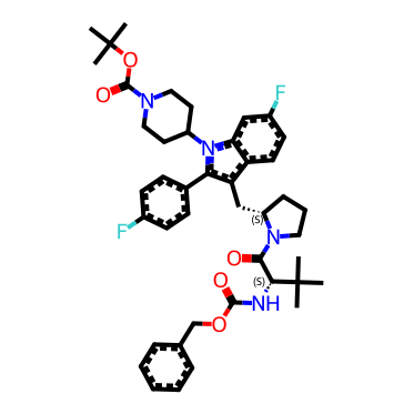 CC(C)(C)OC(=O)N1CCC(n2c(-c3ccc(F)cc3)c(C[C@@H]3CCCN3C(=O)[C@@H](NC(=O)OCc3ccccc3)C(C)(C)C)c3ccc(F)cc32)CC1